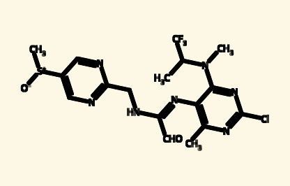 Cc1nc(Cl)nc(N(C)C(C)C(F)(F)F)c1/N=C(\C=O)NCc1ncc([S+](C)[O-])cn1